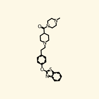 CN1CCN(C(=O)C2CCN(CCc3ccc(Oc4nc5ccccc5s4)cc3)CC2)CC1